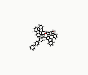 c1ccc(-c2ccc(-c3ccc(N(c4ccc5c(c4)C4(c6ccccc6-c6ccccc64)c4ccccc4-5)c4cc5c6c(c4)c4ccccc4n6-c4ccccc4C54c5ccccc5-c5ccccc54)cc3)cc2)cc1